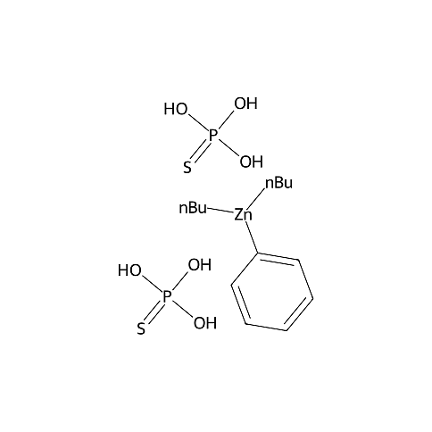 CCC[CH2][Zn]([CH2]CCC)[c]1ccccc1.OP(O)(O)=S.OP(O)(O)=S